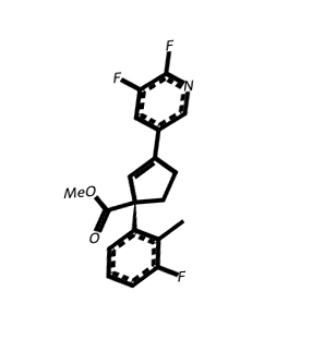 COC(=O)[C@]1(c2cccc(F)c2C)C=C(c2cnc(F)c(F)c2)CC1